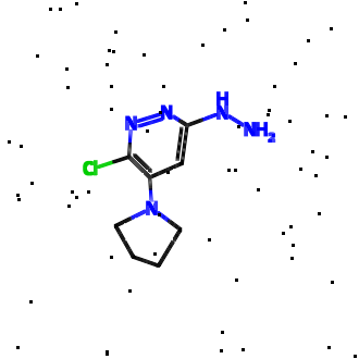 NNc1cc(N2CCCC2)c(Cl)nn1